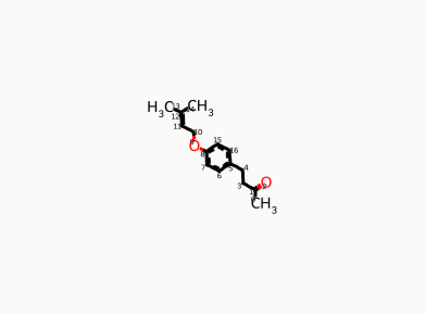 CC(=O)CCc1ccc(OCC=C(C)C)cc1